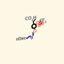 CCCCCCCCCCCCN(C)CCOc1ccc(CCC(=O)O)c(OS(=O)(=O)C(F)(F)F)c1